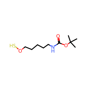 CC(C)(C)OC(=O)NCCCCCOS